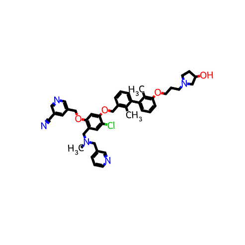 Cc1c(COc2cc(OCc3cncc(C#N)c3)c(CN(C)Cc3cccnc3)cc2Cl)cccc1-c1cccc(OCCCN2CCC(O)C2)c1C